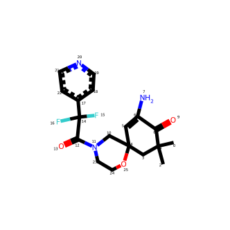 CC1(C)CC2(C=C(N)C1=O)CN(C(=O)C(F)(F)c1ccncc1)CCO2